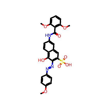 COc1ccc(N=Nc2c(S(=O)(=O)O)cc3cc(NC(=O)c4c(OC)cccc4OC)ccc3c2O)cc1